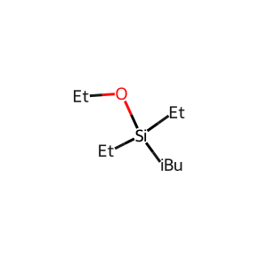 CCO[Si](CC)(CC)C(C)CC